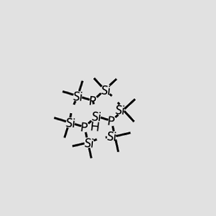 C[Si](C)(C)P([SiH](P([Si](C)(C)C)[Si](C)(C)C)P([Si](C)(C)C)[Si](C)(C)C)[Si](C)(C)C